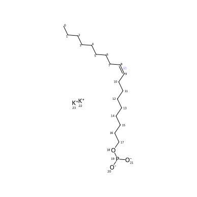 CCCCCCCC/C=C\CCCCCCCCOP([O-])[O-].[K+].[K+]